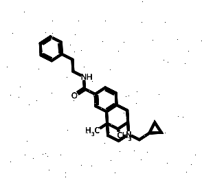 CC1C2Cc3ccc(C(=O)NCCc4ccccc4)cc3C1(C)CCN2CC1CC1